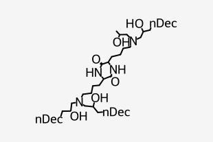 CCCCCCCCCCCC(O)CN(CCCCC1NC(=O)C(CCCCN(CC(O)CCCCCCCCCCC)CC(O)CCCCCCCCCCC)NC1=O)CC(C)O